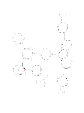 Cc1ccc(-c2ccc3c4ccc(-c5ccc(C)cc5)cc4n(-c4ccc(-c5nc(-c6ccccc6)nc(-c6ccccc6)n5)c(-c5cc(C(F)(F)F)cc(C(F)(F)F)c5)c4)c3c2)cc1